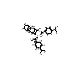 CC(C)c1ccc(C(=O)OC2C3CC(C2OC(=O)c2ccc(C(C)C)cc2)C2C4CCC(C4)C32)cc1